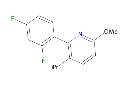 COc1ccc(C(C)C)c(-c2ccc(F)cc2F)n1